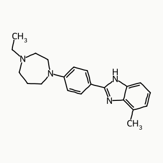 CCN1CCCN(c2ccc(-c3nc4c(C)cccc4[nH]3)cc2)CC1